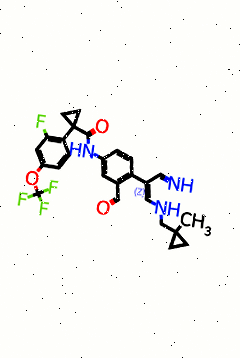 CC1(CN/C=C(\C=N)c2ccc(NC(=O)C3(c4ccc(OC(F)(F)F)cc4F)CC3)cc2C=O)CC1